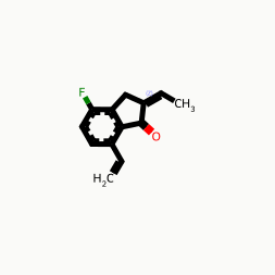 C=Cc1ccc(F)c2c1C(=O)/C(=C\C)C2